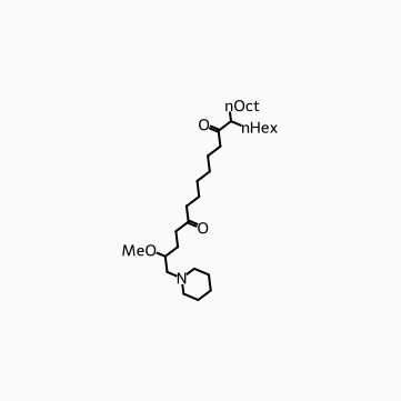 CCCCCCCCC(CCCCCC)C(=O)CCCCCCC(=O)CCC(CN1CCCCC1)OC